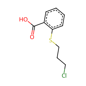 O=C(O)c1ccccc1SCCCCl